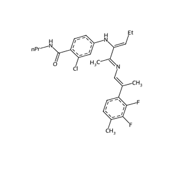 CC/C=C(Nc1ccc(C(=O)NCCC)c(Cl)c1)/C(C)=N/C=C(\C)c1ccc(C)c(F)c1F